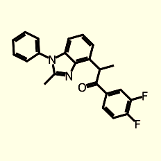 Cc1nc2c(C(C)C(=O)c3ccc(F)c(F)c3)cccc2n1-c1ccccc1